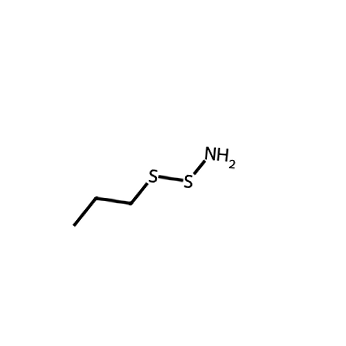 CCCSSN